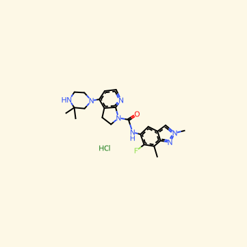 Cc1c(F)c(NC(=O)N2CCc3c(N4CCNC(C)(C)C4)ccnc32)cc2cn(C)nc12.Cl